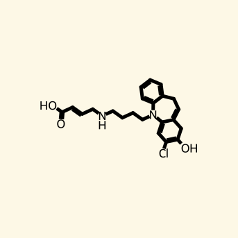 O=C(O)/C=C/CNCCCCN1C2=CC(Cl)=C(O)CC2=CCc2ccccc21